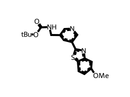 COc1ccc2sc(-c3cncc(CNC(=O)OC(C)(C)C)c3)nc2c1